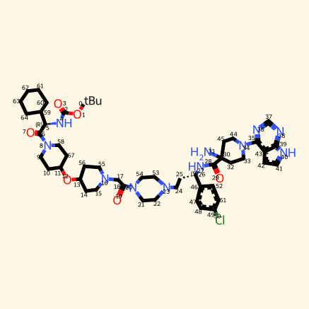 CC(C)(C)OC(=O)N[C@@H](C(=O)N1CCC(OC2CCN(CC(=O)N3CCN(CC[C@H](NC(=O)C4(N)CCN(c5ncnc6[nH]ccc56)CC4)c4ccc(Cl)cc4)CC3)CC2)CC1)C1CCCCC1